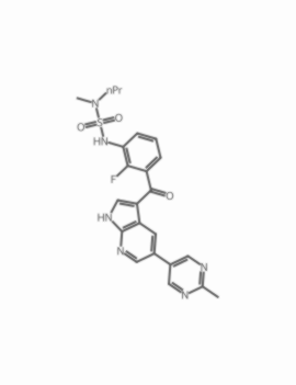 CCCN(C)S(=O)(=O)Nc1cccc(C(=O)c2c[nH]c3ncc(-c4cnc(C)nc4)cc23)c1F